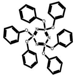 c1ccc(OP2(Oc3ccccc3)=NP(Oc3ccccc3)(Oc3ccccc3)=NP(Oc3ccccc3)(Oc3ccccc3)=N2)cc1